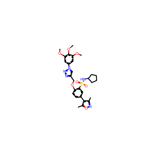 COc1cc(-n2cc(COc3ccc(-c4c(C)noc4C)cc3S(=O)(=O)NC3CCCC3)nn2)cc(OC)c1OC